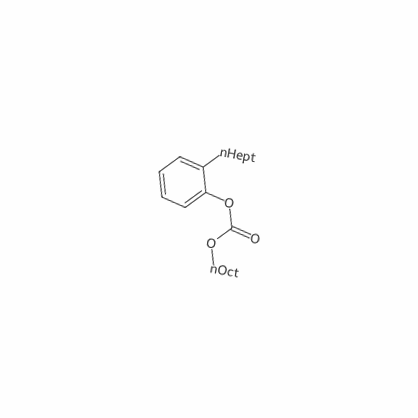 CCCCCCCCOC(=O)Oc1ccccc1CCCCCCC